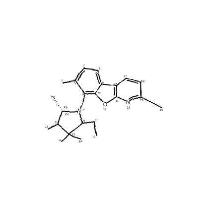 CCC1N(c2c(C)ccc3c2oc2nc(C)ccc23)[C@@H](C)C(C)C1(C)C